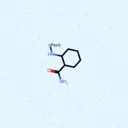 CCCCCNC1CCCCC1C(N)=O